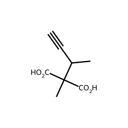 C#CC(C)C(C)(C(=O)O)C(=O)O